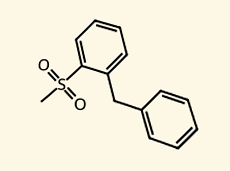 CS(=O)(=O)c1ccccc1Cc1ccccc1